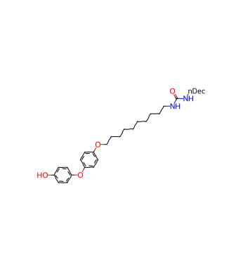 CCCCCCCCCCNC(=O)NCCCCCCCCCCOc1ccc(Oc2ccc(O)cc2)cc1